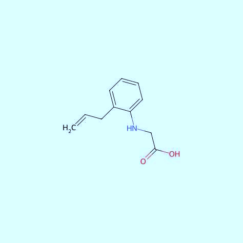 C=CCc1ccccc1NCC(=O)O